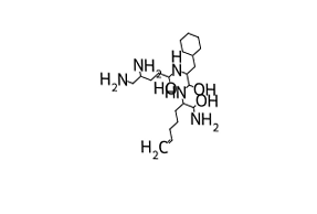 C=CCCCC(NC(O)C(CC1CCCCC1)NC(O)CCC(N)CN)C(N)O